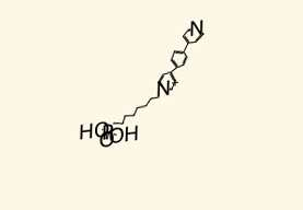 O=P(O)(O)CCCCCCCC[n+]1ccc(-c2ccc(-c3ccncc3)cc2)cc1